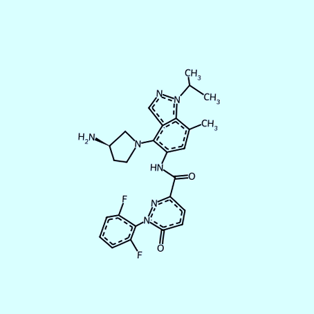 Cc1cc(NC(=O)c2ccc(=O)n(-c3c(F)cccc3F)n2)c(N2CC[C@@H](N)C2)c2cnn(C(C)C)c12